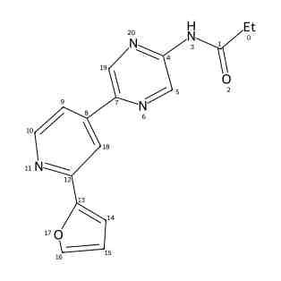 CCC(=O)Nc1cnc(-c2ccnc(-c3ccco3)c2)cn1